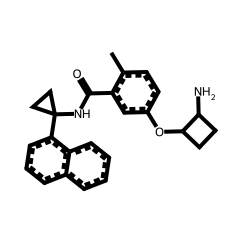 Cc1ccc(OC2CCC2N)cc1C(=O)NC1(c2cccc3ccccc23)CC1